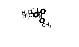 Cc1ccc(-n2c3ccccc3c3cc(C(C)(C)C)ccc32)cc1